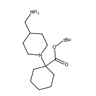 CC(C)(C)OC(=O)C1(N2CCC(CN)CC2)CCCCC1